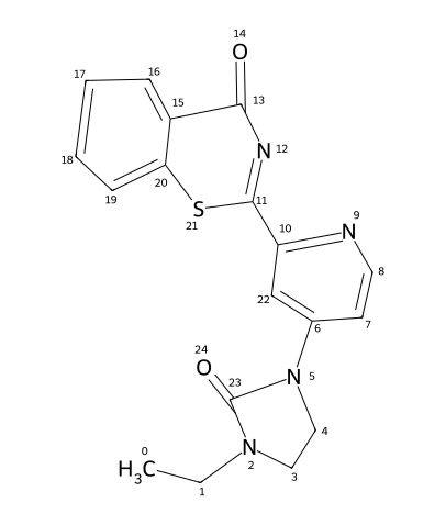 CCN1CCN(c2ccnc(-c3nc(=O)c4ccccc4s3)c2)C1=O